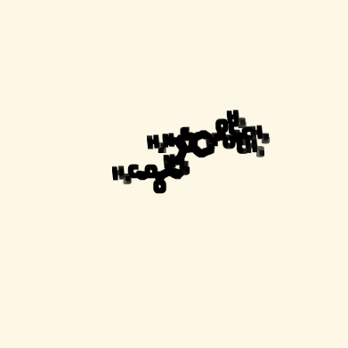 CCOC(=O)c1csc(-c2c(N)sc3c2CCN(C(=O)OC(C)(C)C)C3)n1